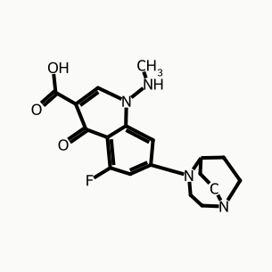 CNn1cc(C(=O)O)c(=O)c2c(F)cc(N3CCN4CCC3CC4)cc21